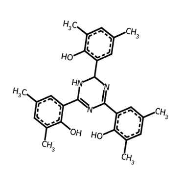 Cc1cc(C)c(O)c(C2=NC(c3cc(C)cc(C)c3O)NC(c3cc(C)cc(C)c3O)=N2)c1